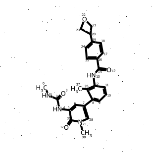 CNC(=O)Nc1cc(-c2cccc(NC(=O)c3ccc(C4COC4)cc3)c2C)cn(C)c1=O